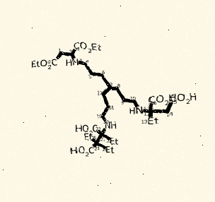 CCOC(=O)CC(NCCCC(CCCNC(CC)(CC(=O)O)C(=O)O)CCCNC(CC)(C(=O)O)C(CC)(CC)C(=O)O)C(=O)OCC